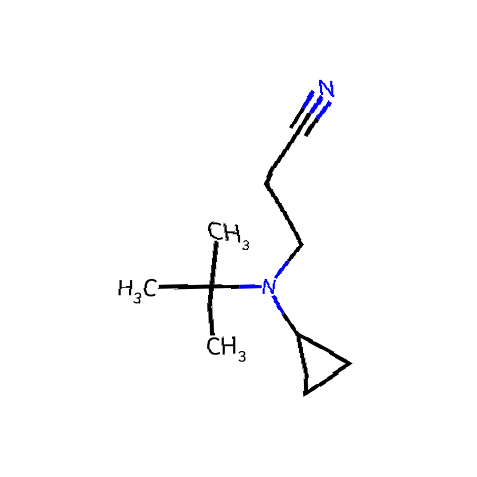 CC(C)(C)N(CCC#N)C1CC1